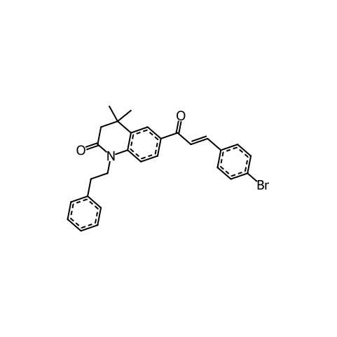 CC1(C)CC(=O)N(CCc2ccccc2)c2ccc(C(=O)C=Cc3ccc(Br)cc3)cc21